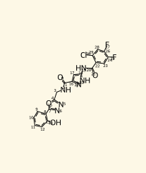 O=C(NCc1nnc(-c2ccccc2O)o1)c1cc(NC(=O)c2cc(F)c(F)cc2Cl)[nH]n1